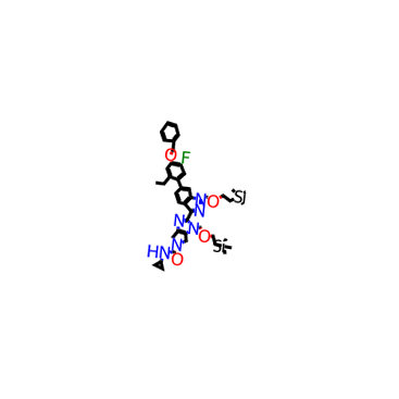 CCc1cc(OCc2ccccc2)c(F)cc1-c1ccc2c(-c3nc4c(n3COCC[Si](C)(C)C)CN(C(=O)NC3CC3)C4)nn(COCC[Si](C)(C)C)c2c1